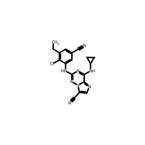 [CH2]Cc1cc(C#N)cc(Nc2nc(NC3CC3)c3ncc(C#N)n3n2)c1Cl